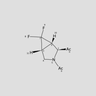 CC(=O)[C@@H]1[C@@H]2[C@H](CN1C(C)=O)C2(F)F